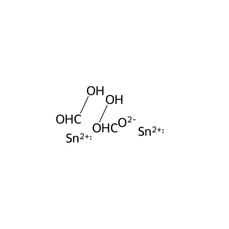 O=[C-]O.O=[C-]O.[O-2].[Sn+2].[Sn+2]